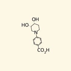 O=C(O)c1ccc(N2CC[C@@H](O)[C@@H](O)C2)cc1